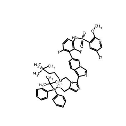 COc1ncc(Cl)cc1S(=O)(=O)Nc1ccc(F)c(-c2ccc3c(-c4ncc(CO[Si](c5ccccc5)(c5ccccc5)C(C)(C)C)n4COCC[Si](C)(C)C)ncn3c2)c1F